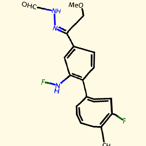 COC/C(=N\NC=O)c1ccc(-c2ccc(C)c(F)c2)c(NF)c1